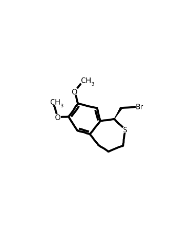 COc1cc2c(cc1OC)[C@@H](CBr)SCCC2